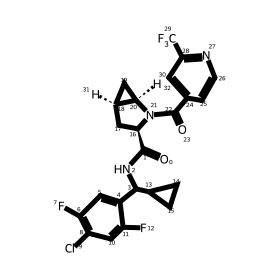 O=C(NC(c1cc(F)c(Cl)cc1F)C1CC1)[C@H]1C[C@H]2C[C@H]2N1C(=O)c1ccnc(C(F)(F)F)c1